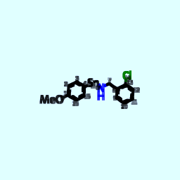 COc1cc[c]([Sn][NH]Cc2ccccc2Cl)cc1